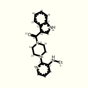 CCNc1cccnc1N1CCN(C(=O)c2c[nH]c3ccccc23)CC1